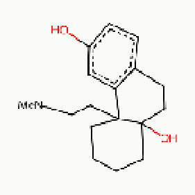 CNCCC12CCCCC1(O)CCc1ccc(O)cc12